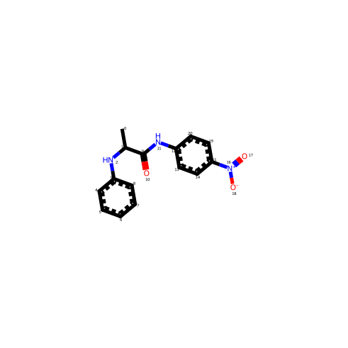 CC(Nc1ccccc1)C(=O)Nc1ccc([N+](=O)[O-])cc1